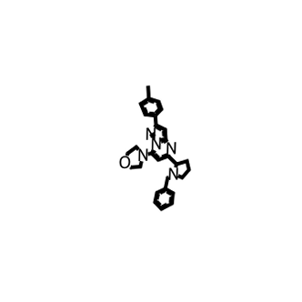 Cc1ccc(-c2cc3nc(C4CCCN4Cc4ccccc4)cc(N4CCOCC4)n3n2)cc1